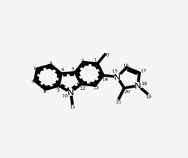 Cc1cc2c3ccccc3n(C)c2cc1N1C=CN(C)C1C